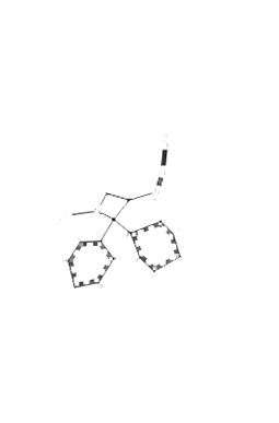 CN1CC(N=[N+]=[N-])C1(c1ccccc1)c1ccccc1